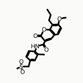 CCCc1c(OC)ccc2cc(C(=O)Nc3ccc(CS(C)(=O)=O)cc3C)c(=O)oc12